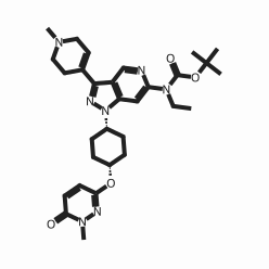 CCN(C(=O)OC(C)(C)C)c1cc2c(cn1)c(C1=CCN(C)CC1)nn2[C@H]1CC[C@@H](Oc2ccc(=O)n(C)n2)CC1